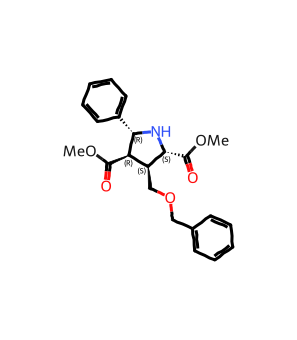 COC(=O)[C@@H]1[C@H](COCc2ccccc2)[C@@H](C(=O)OC)N[C@H]1c1ccccc1